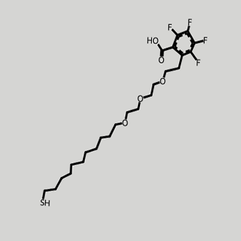 O=C(O)c1c(F)c(F)c(F)c(F)c1CCOCCOCCOCCCCCCCCCCCS